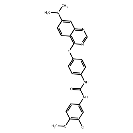 COc1ccc(NC(=O)Nc2ccc(Oc3ncnc4cc(N(C)C)ccc34)cc2)cc1Cl